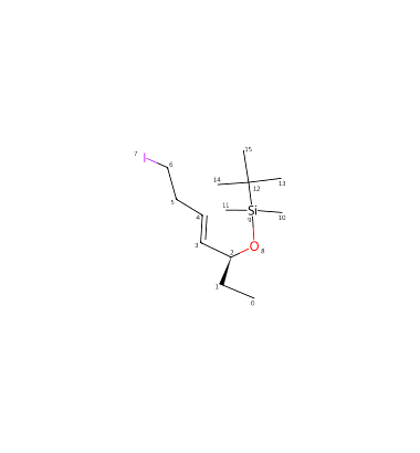 CC[C@@H](C=CCCI)O[Si](C)(C)C(C)(C)C